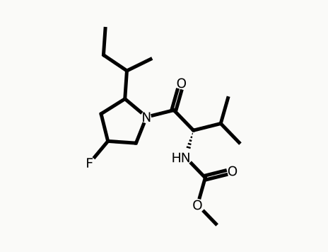 CCC(C)C1CC(F)CN1C(=O)[C@@H](NC(=O)OC)C(C)C